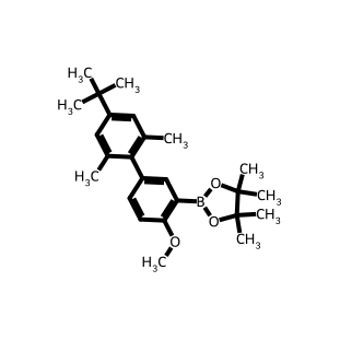 COc1ccc(-c2c(C)cc(C(C)(C)C)cc2C)cc1B1OC(C)(C)C(C)(C)O1